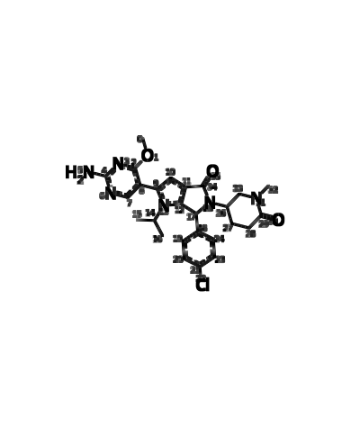 COc1nc(N)ncc1-c1cc2c(n1C(C)C)C(c1ccc(Cl)cc1)N(C1CCC(=O)N(C)C1)C2=O